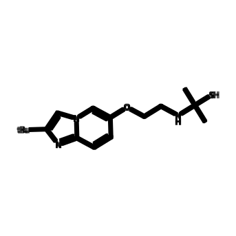 CC(C)(S)NCCOc1ccc2nc(C(C)(C)C)cn2c1